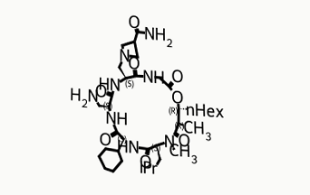 CCCCCC[C@H]1OC(=O)CNC(=O)[C@H](CN2CC(C(N)=O)C2)NC(=O)[C@H](CN)NC(=O)[C@H](C2CCCCC2)NC(=O)[C@H](CC(C)C)N(C)C(=O)[C@@H]1C